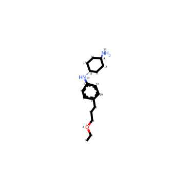 CCOCCCc1ccc(N[C@H]2CC[C@H](N)CC2)cc1